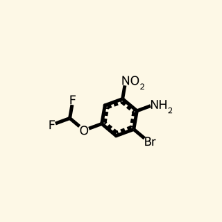 Nc1c(Br)cc(OC(F)F)cc1[N+](=O)[O-]